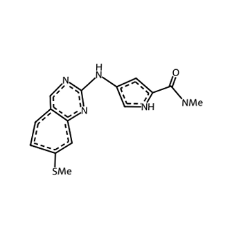 CNC(=O)c1cc(Nc2ncc3ccc(SC)cc3n2)c[nH]1